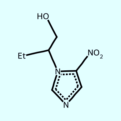 CCC(CO)n1cncc1[N+](=O)[O-]